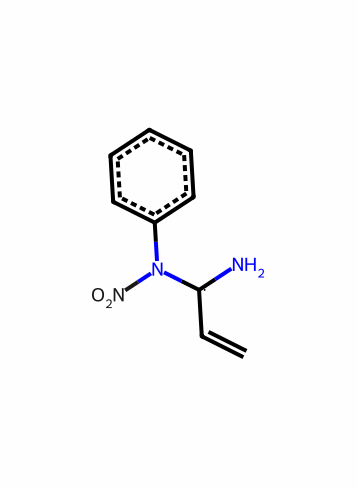 C=C[C](N)N(c1ccccc1)[N+](=O)[O-]